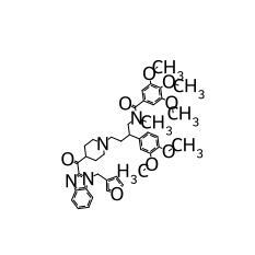 COc1ccc(C(CCN2CCC(C(=O)c3nc4ccccc4n3Cc3ccoc3)CC2)CN(C)C(=O)c2cc(OC)c(OC)c(OC)c2)cc1OC